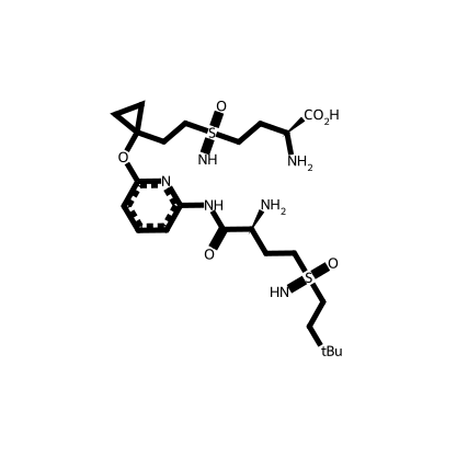 CC(C)(C)CCS(=N)(=O)CC[C@H](N)C(=O)Nc1cccc(OC2(CCS(=N)(=O)CC[C@H](N)C(=O)O)CC2)n1